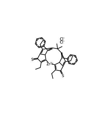 CCC1=[C]2[Zr+2][C]3=C(CC)C(=S)C4=C(CC)C(=C(c5ccccc5)C34)C(C)(C)C3=C(c4ccccc4)C2C(=C3CC)C1=S.[Cl-].[Cl-]